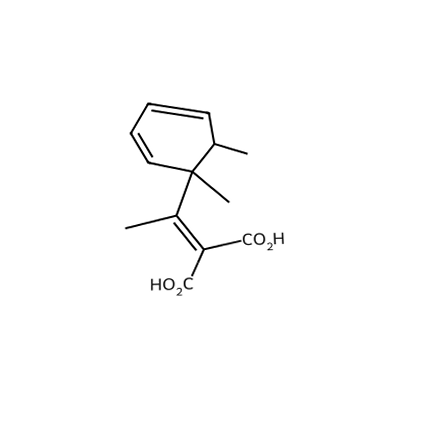 CC(=C(C(=O)O)C(=O)O)C1(C)C=CC=CC1C